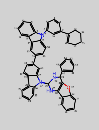 C1=C(c2cccc(-n3c4ccccc4c4cc(-c5ccc6c7ccccc7n(C7Nc8c(oc9ccccc89)C(c8ccccc8)N7)c6c5)ccc43)c2)CCCC1